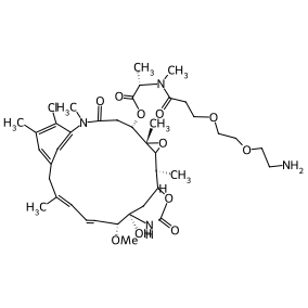 CO[C@@H]1/C=C/C=C(\C)Cc2cc(C)c(Cl)c(c2)N(C)C(=O)C[C@H](OC(=O)[C@H](C)N(C)C(=O)CCOCCOCCN)[C@]2(C)OC2[C@H](C)[C@@H]2C[C@@]1(O)NC(=O)O2